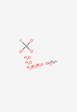 O.O.O.O.O.O.[Cu+3].[O-][Si]([O-])([O-])F